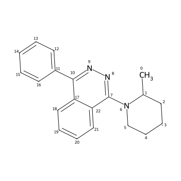 CC1C[CH]CCN1c1nnc(-c2ccccc2)c2ccccc12